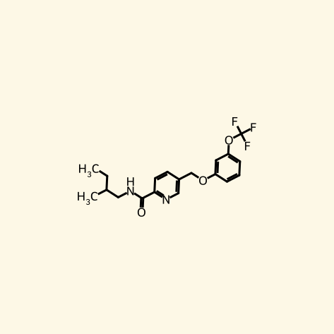 CCC(C)CNC(=O)c1ccc(COc2cccc(OC(F)(F)F)c2)cn1